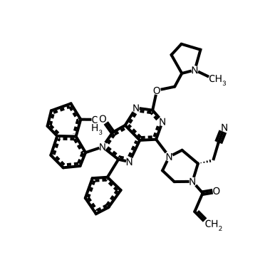 C=CC(=O)N1CCN(c2nc(OCC3CCCN3C)nc3c(=O)n(-c4cccc5cccc(C)c45)c(-c4ccccc4)nc23)C[C@@H]1CC#N